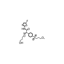 COCCCS(=O)(=O)c1ccc(/C(=N\OCCCO)C(=O)Nc2ncc(F)s2)cc1